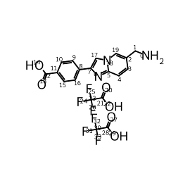 NCc1ccc2nc(-c3ccc(C(=O)O)cc3)cn2c1.O=C(O)C(F)(F)F.O=C(O)C(F)(F)F